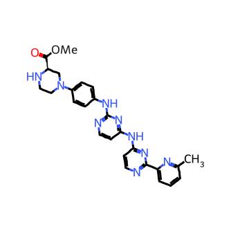 COC(=O)[C@H]1CN(c2ccc(Nc3nccc(Nc4ccnc(-c5cccc(C)n5)n4)n3)cc2)CCN1